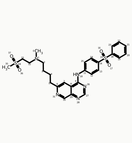 CN(CCCCc1cc2c(Nc3ccc(S(=O)(=O)c4ccccc4)cc3)ncnc2cn1)CCS(C)(=O)=O